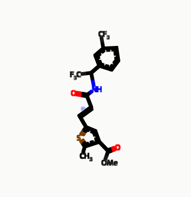 COC(=O)c1cc(/C=C/C(=O)NC(c2cccc(C(F)(F)F)c2)C(F)(F)F)sc1C